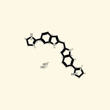 Cl.Cl.c1cc2cc(Cc3cc4ccc(C5=NCCN5)cc4o3)oc2cc1C1=NCCN1